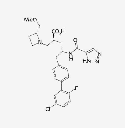 COC[C@H]1CCN1C[C@H](C[C@@H](Cc1ccc(-c2cc(Cl)ccc2F)cc1)NC(=O)c1cnn[nH]1)C(=O)O